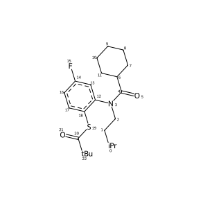 CC(C)CCN(C(=O)C1CCCCC1)c1cc(F)ccc1SC(=O)C(C)(C)C